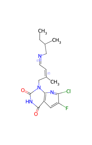 CCC(C)C/N=C\C=C(\C)Cn1c(=O)[nH]c(=O)c2cc(F)c(Cl)nc21